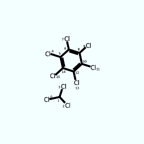 ClC(Cl)Cl.Clc1c(Cl)c(Cl)c(Cl)c(Cl)c1Cl